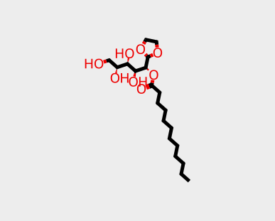 CCCCCCCCCCCC(=O)O[C@@H](C1OCCO1)[C@@H](O)[C@@H](O)[C@H](O)CO